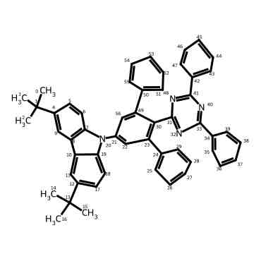 CC(C)(C)c1ccc2c(c1)c1cc(C(C)(C)C)ccc1n2-c1cc(-c2ccccc2)c(-c2nc(-c3ccccc3)nc(-c3ccccc3)n2)c(-c2ccccc2)c1